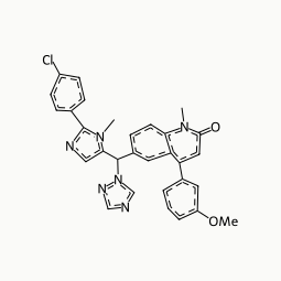 COc1cccc(-c2cc(=O)n(C)c3ccc(C(c4cnc(-c5ccc(Cl)cc5)n4C)n4cncn4)cc23)c1